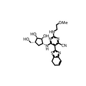 COCCNc1nc(C#N)c(-c2nc3c(s2)CCC=C3)c(N[C@@H]2C[C@H](CO)[C@@H](O)[C@H]2O)n1